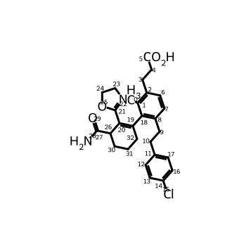 Cc1c(CCC(=O)O)ccc(CCc2ccc(Cl)cc2)c1C1=C(C2=NCCO2)C(C(N)=O)CCC1